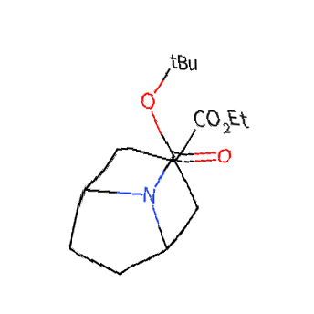 CCOC(=O)C1CC2CCC(C1)N2C(=O)OC(C)(C)C